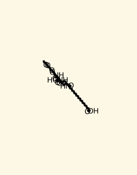 CCCOOCCCOOCCNC(=O)CC(NC(=O)C1CCC(CNC(=O)CCCCCCCCCCCCCCCCCCC(=O)O)CC1)C(=O)O